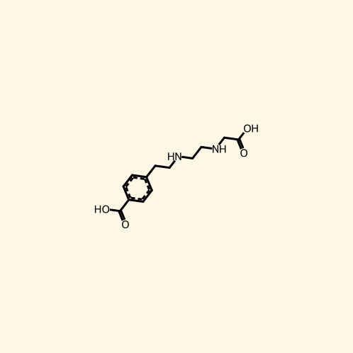 O=C(O)CNCCNCCc1ccc(C(=O)O)cc1